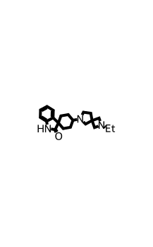 CCN1CC2(CCN(C3CCC4(CC3)C(=O)Nc3ccccc34)C2)C1